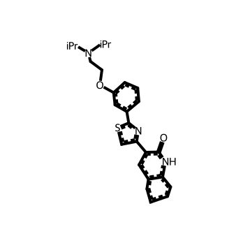 CC(C)N(CCOc1cccc(-c2nc(-c3cc4ccccc4[nH]c3=O)cs2)c1)C(C)C